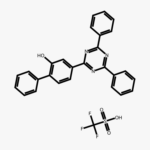 O=S(=O)(O)C(F)(F)F.Oc1cc(-c2nc(-c3ccccc3)nc(-c3ccccc3)n2)ccc1-c1ccccc1